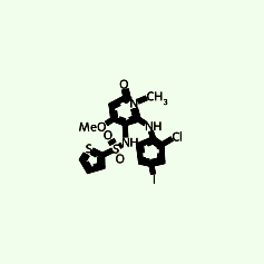 COc1cc(=O)n(C)c(Nc2ccc(I)cc2Cl)c1NS(=O)(=O)c1cccs1